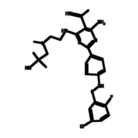 CC(=N)c1c(N)nc(-c2ccc(NSc3cc(Cl)ccc3F)cc2)nc1NCCN(C)CC(C)(C)O